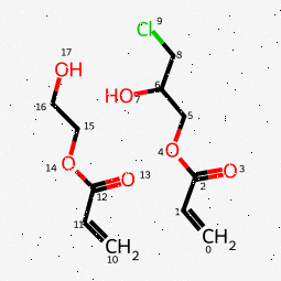 C=CC(=O)OCC(O)CCl.C=CC(=O)OCCO